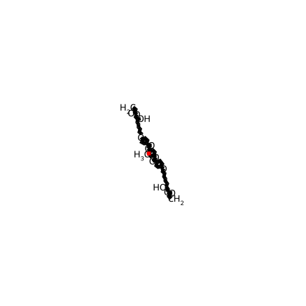 C=CC(=O)OCC(O)CCCCCCOc1ccc(C(=O)Oc2ccc(OC(=O)c3ccc(OCCCCCCC(O)COC(=O)C=C)cc3)c(C)c2)cc1